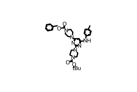 Cc1ccc(Nc2cc(N3CCN(C(=O)OCc4ccccc4)CC3)nc(N3CCN(C(=O)OC(C)(C)C)CC3)n2)cc1